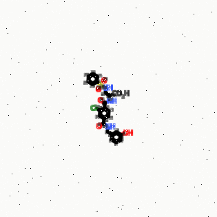 O=C(NCc1cccc(O)c1)c1ccc(C(=O)N[C@@H](CNS(=O)(=O)c2ccccc2)C(=O)O)c(Cl)c1